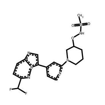 CS(=O)(=O)NOC1CCCN(c2cc(-c3cnc4ccc(C(F)F)nn34)ccn2)C1